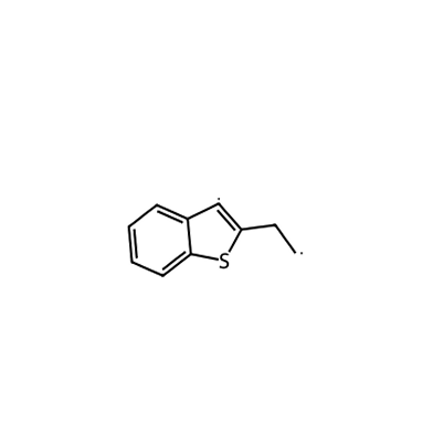 [CH2]Cc1[c]c2ccccc2s1